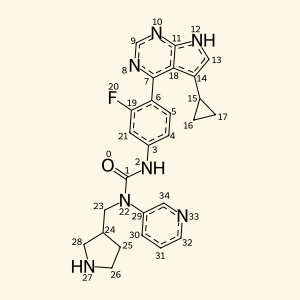 O=C(Nc1ccc(-c2ncnc3[nH]cc(C4CC4)c23)c(F)c1)N(CC1CCNC1)c1cccnc1